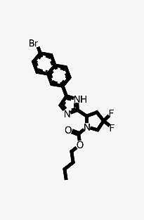 CCCCOC(=O)N1CC(F)(F)CC1c1ncc(-c2ccc3cc(Br)ccc3c2)[nH]1